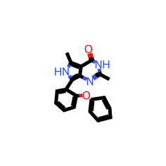 Cc1nc2c(-c3ccccc3Oc3ccccc3)[nH]c(C)c2c(=O)[nH]1